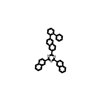 c1ccc(-c2ccccc2-c2ccc3cc(-c4nc(-c5ccc6ccccc6c5)nc(-c5ccc6ccccc6c5)n4)ccc3c2)cc1